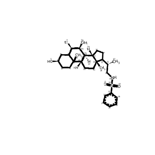 CC[C@@H]1C2C[C@H](O)CCC2(C)[C@H]2CCC3(C)C([C@H](C)CNS(=O)(=O)c4ccccc4)CC[C@H]3[C@@H]2[C@@H]1O